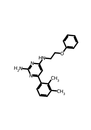 Cc1cccc(-c2cc(NCCOc3ccccc3)nc(N)n2)c1C